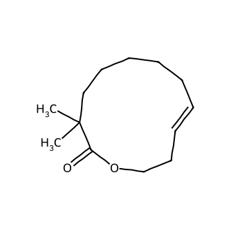 CC1(C)CCCCC/C=C/CCOC1=O